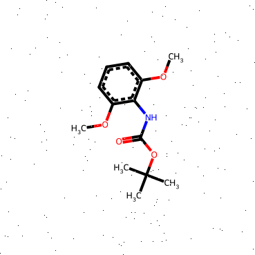 COc1cccc(OC)c1NC(=O)OC(C)(C)C